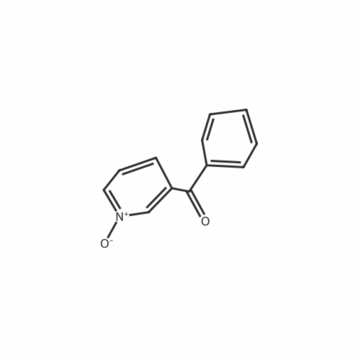 O=C(c1ccccc1)c1ccc[n+]([O-])c1